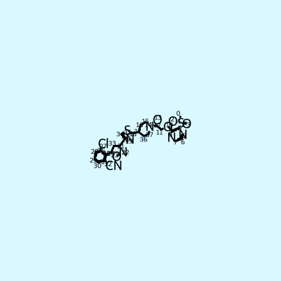 CS(=O)(=O)c1nccnc1OCC(=O)N1CCC(c2nc(C3=NOC(c4c(Cl)cccc4C#N)C3)cs2)CC1